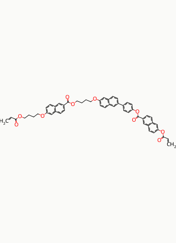 C=CC(=O)OCCCCOc1ccc2cc(C(=O)OCCCCOc3ccc4cc(-c5ccc(OC(=O)c6ccc7cc(OC(=O)C=C)ccc7c6)cc5)ccc4c3)ccc2c1